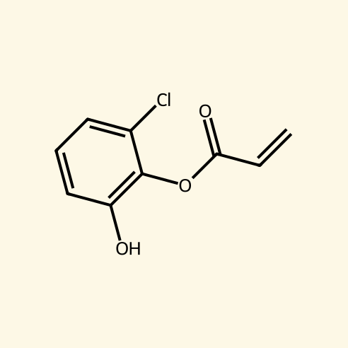 C=CC(=O)Oc1c(O)cccc1Cl